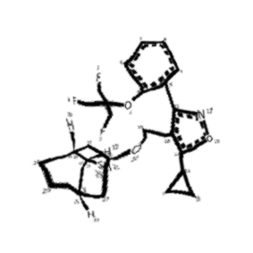 FC(F)(F)Oc1ccccc1-c1noc(C2CC2)c1CO[C@@H]1C[C@H]2CC[C@@H](C1)[C@H]2S